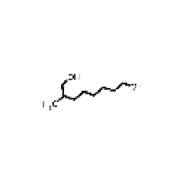 CC([CH]O)CCCCC[CH]O